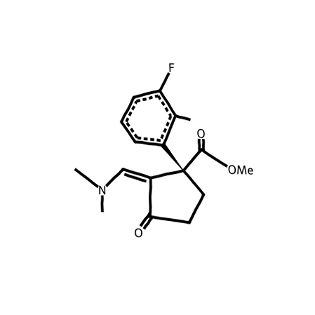 COC(=O)[C@]1(c2cccc(F)c2C)CCC(=O)C1=CN(C)C